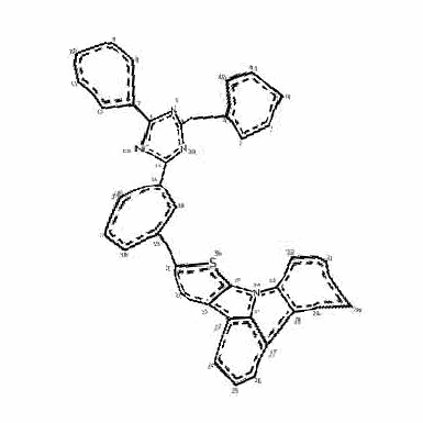 c1ccc(-c2nc(-c3ccccc3)nc(-c3cccc(-c4cc5c6cccc7c8ccccc8n(c5s4)c76)c3)n2)cc1